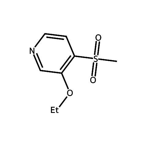 CCOc1cnccc1S(C)(=O)=O